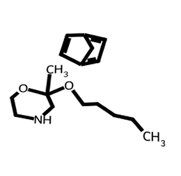 C1=CC2=CC=C1C2.CCCCCOC1(C)CNCCO1